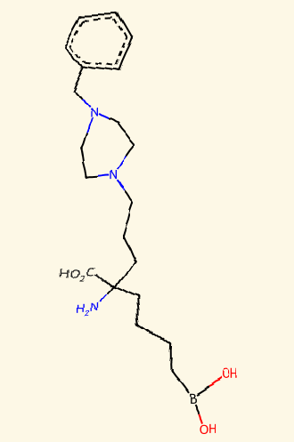 NC(CCCCB(O)O)(CCCN1CCN(Cc2ccccc2)CC1)C(=O)O